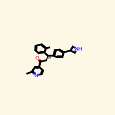 Cc1cc(C(=O)C[C@H](c2ccc(C3CNC3)cc2)c2ccccc2C)ccn1